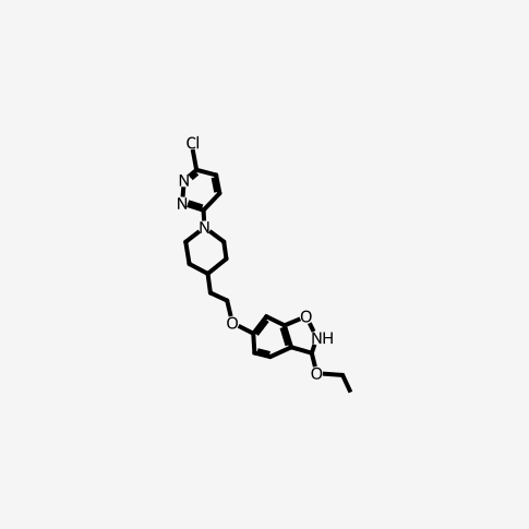 CCOC1NOc2cc(OCCC3CCN(c4ccc(Cl)nn4)CC3)ccc21